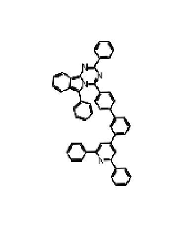 c1ccc(-c2cc(-c3cccc(-c4ccc(-c5nc(-c6ccccc6)nc6c7ccccc7c(-c7ccccc7)n56)cc4)c3)cc(-c3ccccc3)n2)cc1